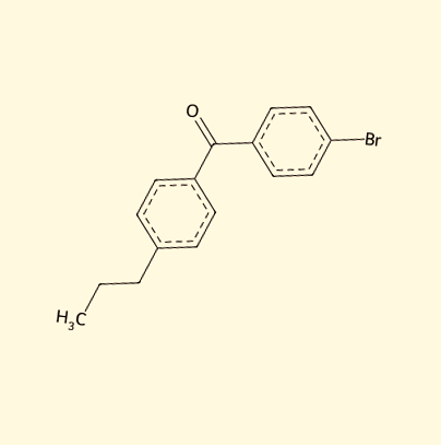 CCCc1ccc(C(=O)c2ccc(Br)cc2)cc1